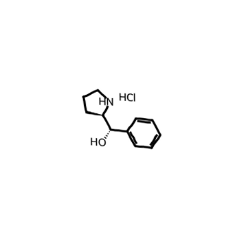 Cl.O[C@@H](c1ccccc1)[C@H]1CCCN1